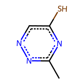 Cc1nncc(S)n1